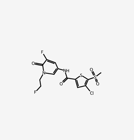 CS(=O)(=O)c1sc(C(=O)Nc2cc(F)c(=O)n(CCF)c2)cc1Cl